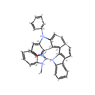 Cn1c(-n2c3ccccc3c3ccc4ccc5c(c6ccccc6n5-c5ccccc5)c4c32)nc2ccccc21